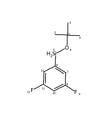 CC(C)(C)O[SiH2]c1cc(F)cc(F)c1